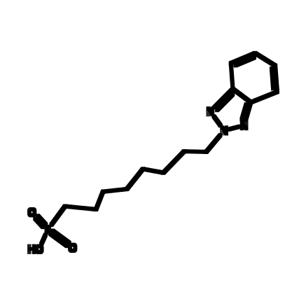 O=S(=O)(O)CCCCCCCCn1nc2ccccc2n1